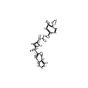 O=C(COc1ccc(Cl)c(F)c1)NC12CC(Nc3nc4ccccc4o3)(C1)C2